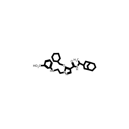 CC(NC(=O)c1cnn(CCNc2cccc(C(=O)O)c2)c1OCC1CCCCC1)C1CC2CCCC(C2)C1